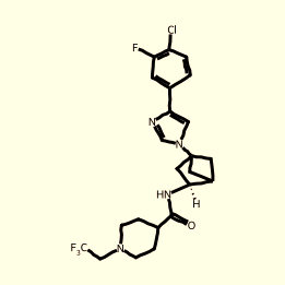 O=C(N[C@H]1CC2(n3cnc(-c4ccc(Cl)c(F)c4)c3)CC1C2)C1CCN(CC(F)(F)F)CC1